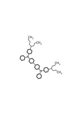 CCCCC(CCC)c1ccc(N(c2ccccc2)c2ccc(-c3ccc(N(c4ccccc4)c4ccc(C(CCC)CCC)cc4)cc3)cc2)cc1